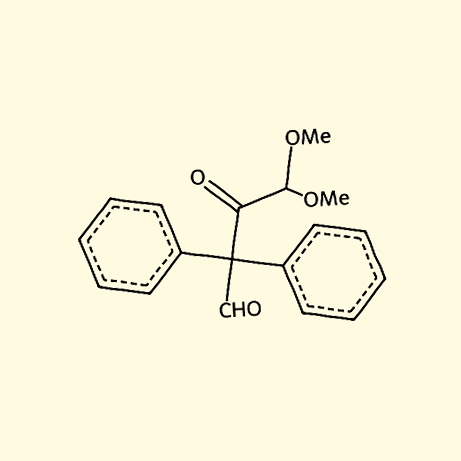 COC(OC)C(=O)C(C=O)(c1ccccc1)c1ccccc1